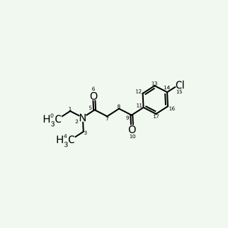 CCN(CC)C(=O)CCC(=O)c1ccc(Cl)cc1